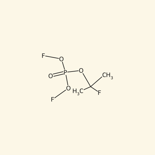 CC(C)(F)OP(=O)(OF)OF